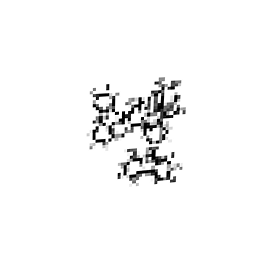 c1ccc2c(c1)c1ccccc1n2-c1cnc(C2(c3ncc(-n4c5ccccc5c5ccccc54)cn3)C3CC4CC(C3)CC2C4)nc1